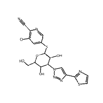 N#Cc1ncc(SC2OC(CO)C(O)C(n3cc(-c4nccs4)nn3)C2O)cc1Cl